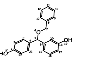 Oc1ccc(C(OCc2ccccc2)c2cccc(O)c2)cc1